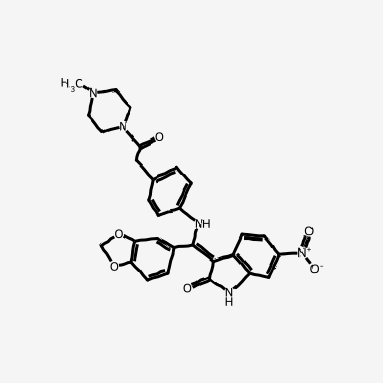 CN1CCN(C(=O)Cc2ccc(NC(=C3C(=O)Nc4cc([N+](=O)[O-])ccc43)c3ccc4c(c3)OCO4)cc2)CC1